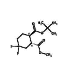 COC(=O)[C@@H]1CC(F)(F)CC[C@H]1C(=O)OC(C)(C)C